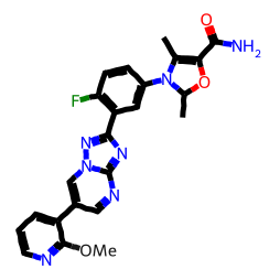 COc1ncccc1-c1cnc2nc(-c3cc(N4C(C)=C(C(N)=O)OC4C)ccc3F)nn2c1